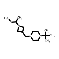 CSC(C)N1CC(CN2CCN(C(C)(C)C)CC2)C1